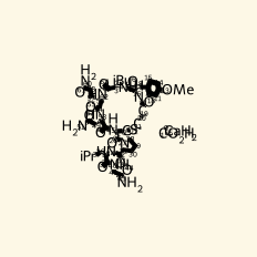 CC(=O)O.CC[C@H](C)[C@@H]1NC(=O)[C@H](Cc2ccc(OC)cc2)NC(=O)CCCSC[C@@H](C(=O)N2CCC[C@H]2C(=O)N[C@@H](CC(C)C)C(=O)NCC(N)=O)NC(=O)[C@H](CC(N)=O)NC(=O)[C@H](CCC(N)=O)NC1=O.[CaH2]